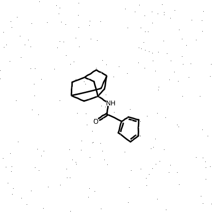 O=C(NC12CC3CC(CC(C3)C1)C2)c1cc[c]cc1